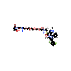 CC(C)[C@H](c1cc(-c2cc(F)ccc2F)cn1Cc1ccccc1)N(CC1CCNC1)C(=O)CSC[C@H](NC(=O)CCOCCOCCOCCOCCNCC(=O)CN1C(=O)C=CC1=O)C(=O)O